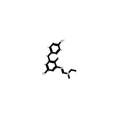 CCN(C)C=Nc1cc(Cl)cc(Cc2ccc(Cl)cc2)c1C